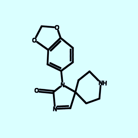 O=C1N=CC2(CCNCC2)N1c1ccc2c(c1)OCO2